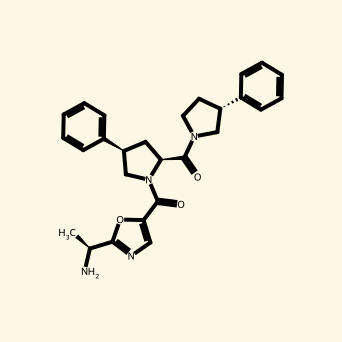 C[C@H](N)c1ncc(C(=O)N2C[C@@H](c3ccccc3)C[C@H]2C(=O)N2CC[C@H](c3ccccc3)C2)o1